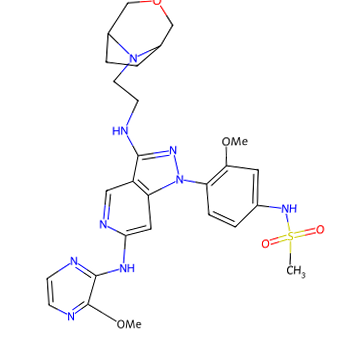 COc1cc(NS(C)(=O)=O)ccc1-n1nc(NCCN2C3CCC2COC3)c2cnc(Nc3nccnc3OC)cc21